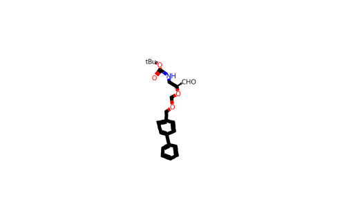 CC(C)(C)OC(=O)NC[C@@H](C=O)OCOCc1ccc(-c2ccccc2)cc1